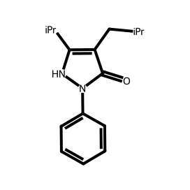 CC(C)Cc1c(C(C)C)[nH]n(-c2ccccc2)c1=O